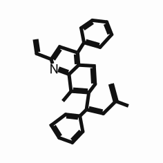 C=Cc1cc(-c2ccccc2)c2ccc(/C(=C\C(=C)C)c3ccccc3)c(C)c2n1